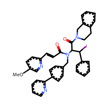 COc1ccc(C=CC(=O)N(Cc2ccc(-c3ccccn3)cc2)C(C(=O)N2CCc3ccccc3C2)C(I)c2ccccc2)nc1